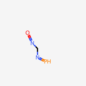 O=NCN=P